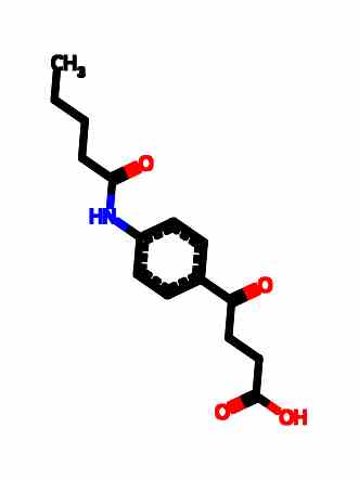 CCCCC(=O)Nc1ccc(C(=O)CCC(=O)O)cc1